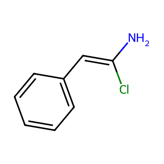 NC(Cl)=Cc1ccccc1